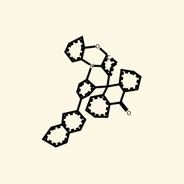 O=C1c2ccccc2C2(c3ccccc31)c1cc(-c3ccc4ccccc4c3)ccc1N1c3ccccc3Oc3cccc2c31